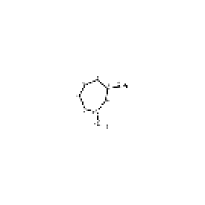 CC(C)[C@@H]1CCCCN(C)C1